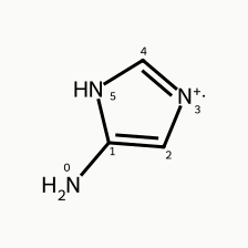 NC1=C[N+]=CN1